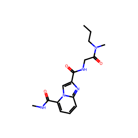 CCCN(C)C(=O)CNC(=O)c1cn2c(C(=O)NC)cccc2n1